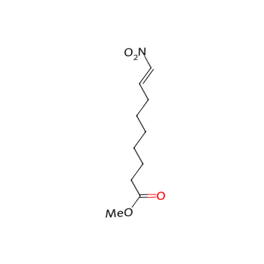 COC(=O)CCCCCC/C=C/[N+](=O)[O-]